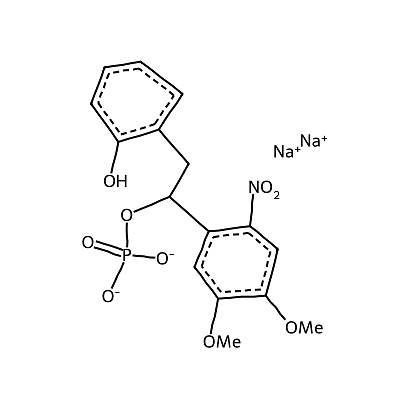 COc1cc(C(Cc2ccccc2O)OP(=O)([O-])[O-])c([N+](=O)[O-])cc1OC.[Na+].[Na+]